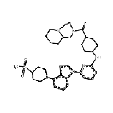 CS(=O)(=O)C1CCN(c2cccc3c2ccn3-c2ccnc(NC3CCC(C(=O)N4CCN5CCCCC5C4)CC3)n2)CC1